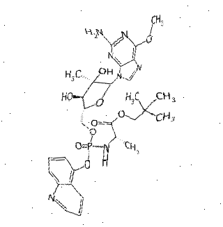 COc1nc(N)nc2c1ncn2C1O[C@H](COP(=O)(N[C@@H](C)C(=O)OCC(C)(C)C)Oc2cccc3ncccc23)[C@@H](O)[C@@]1(C)O